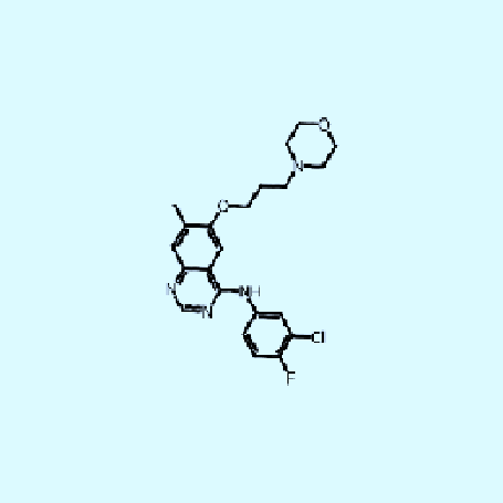 Cc1cc2ncnc(Nc3ccc(F)c(Cl)c3)c2cc1OCCCN1CCOCC1